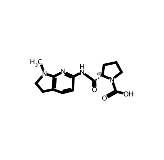 CN1CCc2ccc(NC(=O)[C@@H]3CCCN3C(=O)O)nc21